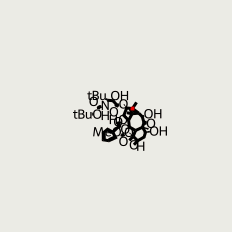 COC(=O)O[C@@]12CO[C@@H]1C[C@H](O)[C@@]1(C)C(=O)[C@H](O)C3=C(C)[C@@H](OC(=O)[C@H](O)[C@@H](NC(=O)OC(C)(C)C)C(C)(C)C)C[C@@](O)([C@@H](OC(=O)c4ccccc4)C12)C3(C)C